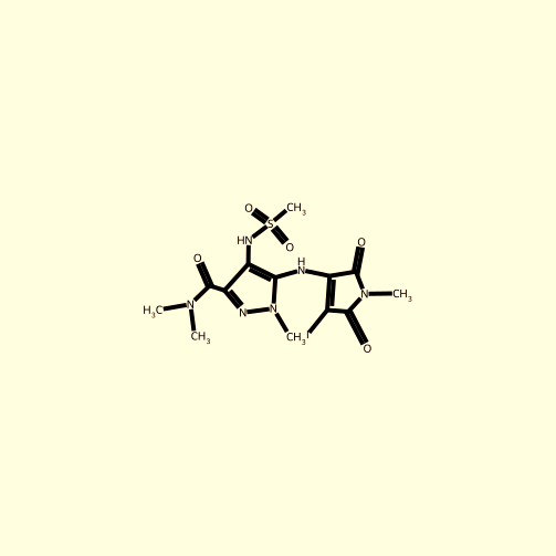 CN(C)C(=O)c1nn(C)c(NC2=C(I)C(=O)N(C)C2=O)c1NS(C)(=O)=O